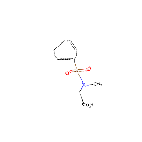 CN(CC(=O)O)S(=O)(=O)C1=CCCC=C1